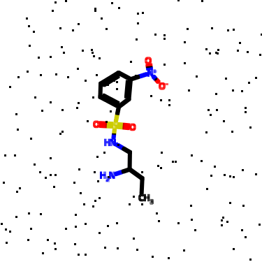 CCC(N)CNS(=O)(=O)c1cccc([N+](=O)[O-])c1